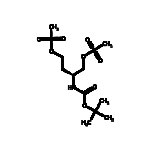 CC(C)(C)OC(=O)N[C@@H](CCOS(C)(=O)=O)COS(C)(=O)=O